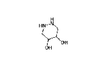 OC1CNNCC1O